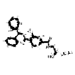 CCOC(=O)[C@H](O)CNC(=O)c1ncc(C(=O)NC(c2ccccc2)c2ccccc2)c(O)n1